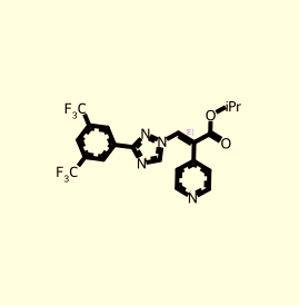 CC(C)OC(=O)/C(=C/n1cnc(-c2cc(C(F)(F)F)cc(C(F)(F)F)c2)n1)c1ccncc1